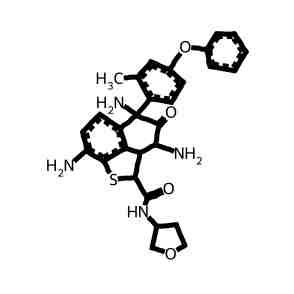 Cc1cc(Oc2ccccc2)ccc1C1(N)C(=O)C(N)C2c3c1ccc(N)c3SC2C(=O)NC1CCOC1